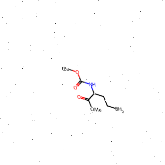 BCCC(NC(=O)OC(C)(C)C)C(=O)OC